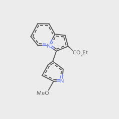 CCOC(=O)c1cc2ccccn2c1-c1ccc(OC)nc1